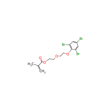 C=C(C)C(=O)OCCOCCOc1c(Br)cc(Br)cc1Br